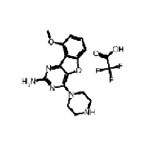 COc1cccc2oc3c(N4CCNCC4)nc(N)nc3c12.O=C(O)C(F)(F)F